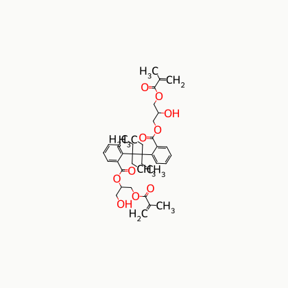 C=C(C)C(=O)OCC(O)COC(=O)c1ccccc1C(CC)(CC)C(CC)(CC)c1ccccc1C(=O)OC(CO)COC(=O)C(=C)C